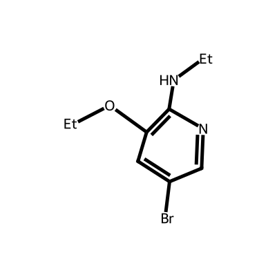 CCNc1ncc(Br)cc1OCC